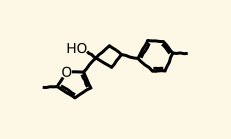 Cc1ccc(C2CC(O)(c3ccc(C)o3)C2)cc1